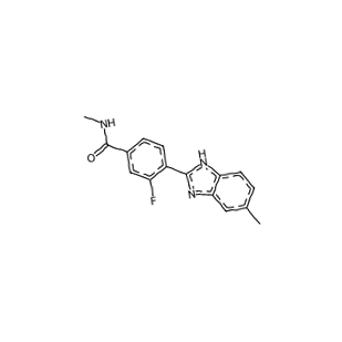 CNC(=O)c1ccc(-c2nc3cc(C)ccc3[nH]2)c(F)c1